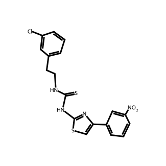 O=[N+]([O-])c1cccc(-c2csc(NC(=S)NCCc3cccc(Cl)c3)n2)c1